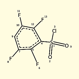 O=S(=O)(Cl)c1c(F)c(F)cc(F)c1F